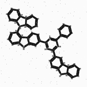 c1ccc(-c2nc(-c3ccc4c(c3)oc3cccc(-n5c6ccccc6c6ccccc65)c34)nc(-c3ccc4sc5ccccc5c4c3)n2)cc1